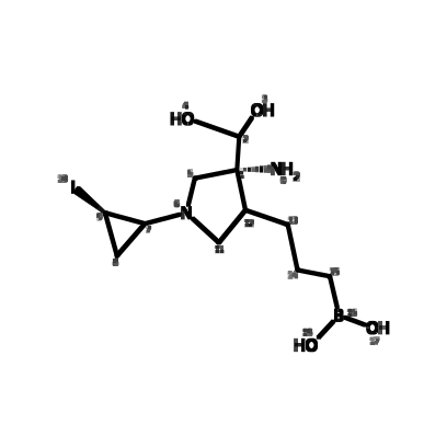 N[C@@]1(C(O)O)CN(C2C[C@H]2I)CC1CCCB(O)O